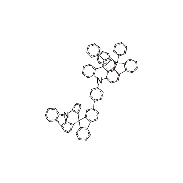 c1ccc(-c2ccccc2-c2ccccc2N(c2ccc(-c3ccc4c(c3)C3(c5ccccc5-4)c4ccccc4-n4c5ccccc5c5cccc3c54)cc2)c2ccc3c(c2)C(c2ccccc2)(c2ccccc2)c2ccccc2-3)cc1